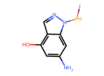 Nc1cc(O)c2cnn(PI)c2c1